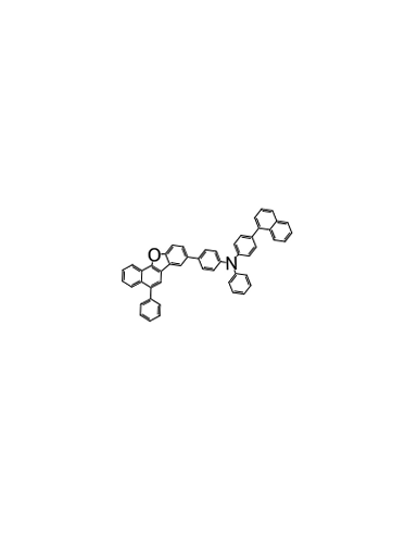 c1ccc(-c2cc3c4cc(-c5ccc(N(c6ccccc6)c6ccc(-c7cccc8ccccc78)cc6)cc5)ccc4oc3c3ccccc23)cc1